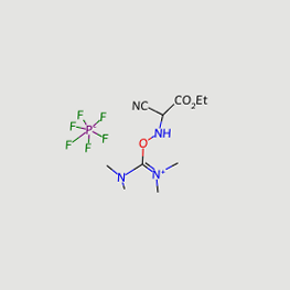 CCOC(=O)C(C#N)NOC(N(C)C)=[N+](C)C.F[P-](F)(F)(F)(F)F